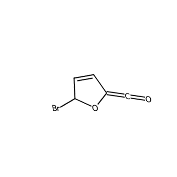 O=C=C1C=CC(Br)O1